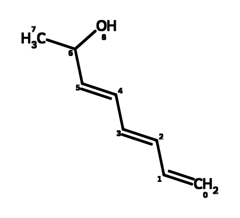 C=CC=CC=CC(C)O